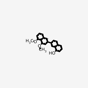 COc1cccc2[c]c(-c3ccc4cccc(O)c4c3)cc(OC)c12